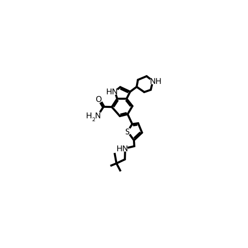 CC(C)(C)CNCc1ccc(-c2cc(C(N)=O)c3[nH]cc(C4CCNCC4)c3c2)s1